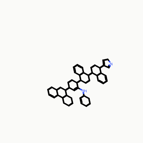 C1=CC2C(C3=CCN=C3)CCC(C3CCC(C4CCC(C5CC6CCC=CC6C6CCCCC56)C=C4NC4C=CCCC4)C4C=CC=CC43)C2C=C1